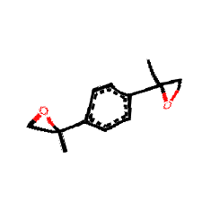 CC1(c2ccc(C3(C)CO3)cc2)CO1